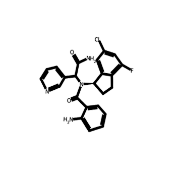 NC(=O)C(c1cccnc1)N(C(=O)c1ccccc1N)[C@@H]1CCc2c(F)cc(Cl)cc21